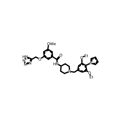 CCOc1cc(CN2CCC(NC(=O)c3cc(OC)cc(OCc4nnn[nH]4)c3)CC2)cc(OCC)c1-n1cccc1